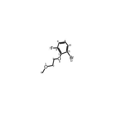 COCCOc1c(F)cccc1Br